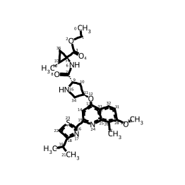 CCOC(=O)[C@@]1(NC(=O)[C@@H]2C[C@@H](Oc3cc(-c4nc(C(C)C)cs4)nc4c(C)c(OC)ccc34)CN2)C[C@H]1C